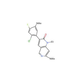 CCn1c(=O)c(-c2cc(NC)c(F)cc2Cl)cc2cnc(NC)cc21